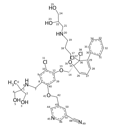 CC(CO)(CO)NCc1cc(Cl)c(OC[C@@]2(OCCCNCC(O)CO)C=CC=C(c3ccccc3)C2(Cl)Cl)cc1OCc1cncc(C#N)c1